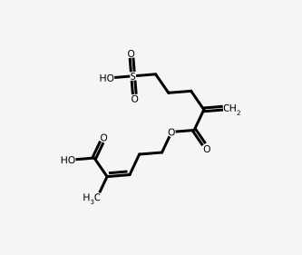 C=C(CCCS(=O)(=O)O)C(=O)OCCC=C(C)C(=O)O